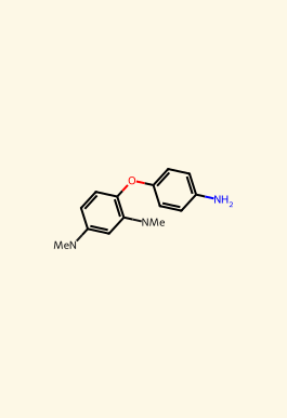 CNc1ccc(Oc2ccc(N)cc2)c(NC)c1